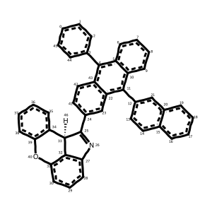 c1ccc(-c2c3ccccc3c(-c3ccc4ccccc4c3)c3cc(C4=Nc5cccc6c5[C@H]4c4ccccc4O6)ccc23)cc1